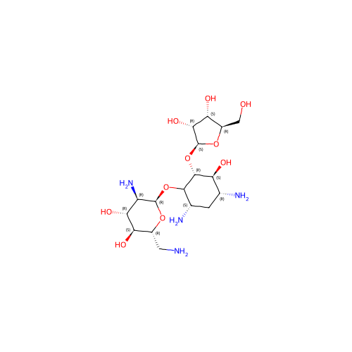 NC[C@H]1O[C@H](OC2[C@@H](N)C[C@@H](N)[C@H](O)[C@H]2O[C@@H]2O[C@H](CO)[C@@H](O)[C@H]2O)[C@H](N)[C@@H](O)[C@@H]1O